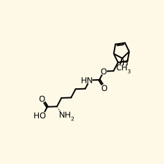 C[C@@H]1C2C=CC1C(COC(=O)NCCCC[C@H](N)C(=O)O)C2